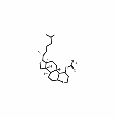 CC(C)CCC[C@@H](C)[C@H]1CC[C@H]2[C@@H]3CCC4CCCC(OC(N)=O)[C@]4(C)[C@H]3CC[C@]12C